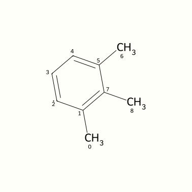 Cc1[c]ccc(C)c1C